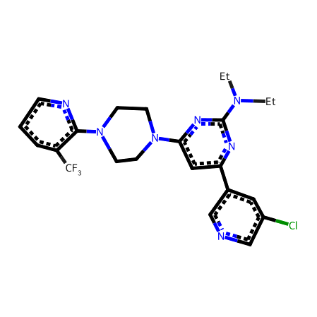 CCN(CC)c1nc(-c2cncc(Cl)c2)cc(N2CCN(c3ncccc3C(F)(F)F)CC2)n1